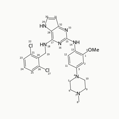 COc1cc(N2CCN(C)CC2)ccc1Nc1nc(NCc2c(Cl)cccc2Cl)c2[nH]ccc2n1